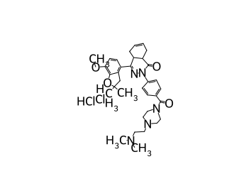 COc1ccc(C2=NN(c3ccc(C(=O)N4CCN(CCN(C)C)CC4)cc3)C(=O)C3CC=CCC23)c2c1OC(C)(C)C2.Cl.Cl